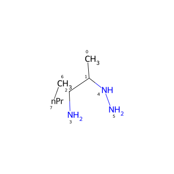 CC(CN)NN.CCCC